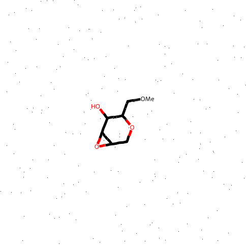 COCC1OCC2OC2C1O